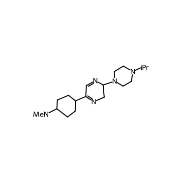 CNC1CCC(C2=NCC(N3CCN(C(C)C)CC3)N=C2)CC1